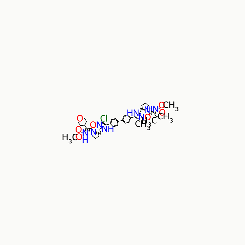 COC(=O)N[C@H](C(=O)N1CCC[C@H]1c1nc(C)c(-c2ccc(-c3ccc(-c4[nH]c([C@@H]5CCCN5C(=O)[C@@H](NC(=O)OC)C5CCOCC5)nc4Cl)cc3)cc2)[nH]1)C(C)C